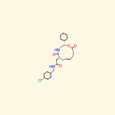 O=C(C[C@@H]1C/C=C/CCC(=O)O[C@@H](c2ccccc2)CNC1=O)NCc1ccc(Cl)cc1